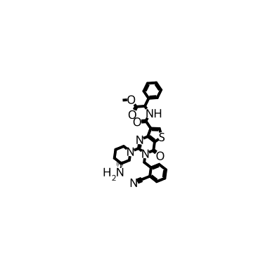 COC(=O)C(NC(=O)c1csc2c(=O)n(Cc3ccccc3C#N)c(N3CCC[C@@H](N)C3)nc12)c1ccccc1